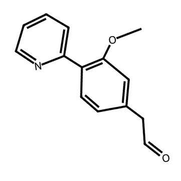 COc1cc(CC=O)ccc1-c1ccccn1